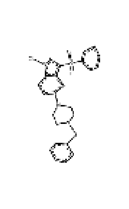 O=S(=O)(c1ccccc1)c1nn(Cl)c2ccc(N3CCN(Cc4ccccc4)CC3)cc12